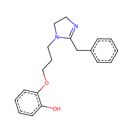 Oc1ccccc1OCCCN1CCN=C1Cc1ccccc1